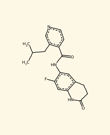 CC(C)Cc1cnccc1C(=O)Nc1cc2c(cc1F)NC(=O)CC2